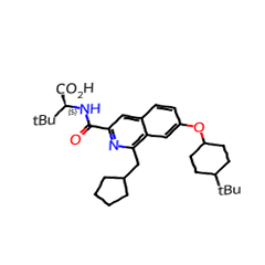 CC(C)(C)C1CCC(Oc2ccc3cc(C(=O)N[C@H](C(=O)O)C(C)(C)C)nc(CC4CCCC4)c3c2)CC1